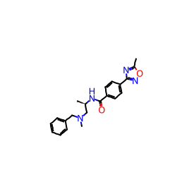 Cc1nc(-c2ccc(C(=O)N[C@H](C)CN(C)Cc3ccccc3)cc2)no1